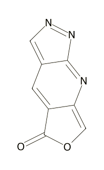 O=C1OC=c2nc3c(cc21)=CN=N3